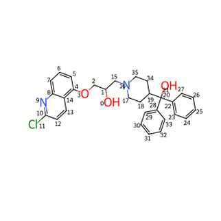 OC(COc1cccc2nc(Cl)ccc12)CN1CCC(C(O)(c2ccccc2)c2ccccc2)CC1